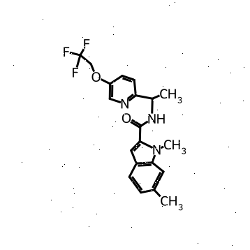 Cc1ccc2cc(C(=O)NC(C)c3ccc(OCC(F)(F)F)cn3)n(C)c2c1